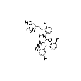 [N-]=[N+]=N[C@H](C(=O)Nc1cccc(F)c1CC[C@H](N)CO)C(c1cccc(F)c1)c1cccc(F)c1